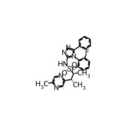 Cc1cnc([C@@H](C)[C@H](C)S(=O)(=O)Nc2nnc(-c3ccccc3)n2-c2c(F)cccc2F)cn1